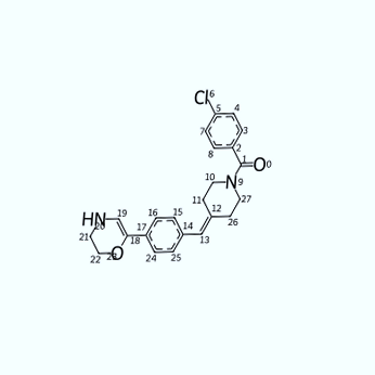 O=C(c1ccc(Cl)cc1)N1CCC(=Cc2ccc(C3=CNCCO3)cc2)CC1